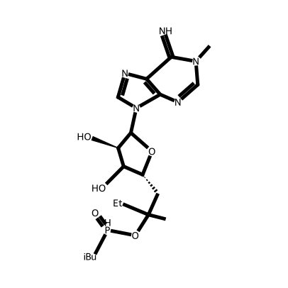 CCC(C)[PH](=O)OC(C)(CC)C[C@H]1OC(n2cnc3c(=N)n(C)cnc32)[C@H](O)C1O